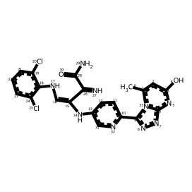 Cc1cc(O)nc2nnc(-c3ccc(N/C(=C/Nc4c(Cl)cccc4Cl)C(=N)C(N)=O)cn3)n12